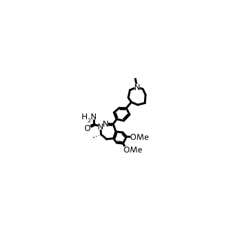 COc1cc2c(cc1OC)C(c1ccc(C3CCCCN(C)CC3)cc1)=NN(C(N)=O)[C@@H](C)C2